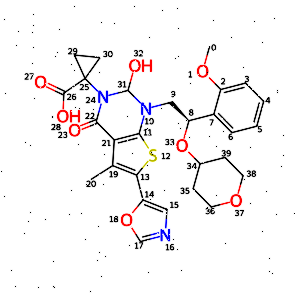 COc1ccccc1[C@H](CN1c2sc(-c3cnco3)c(C)c2C(=O)N(C2(C(=O)O)CC2)C1O)OC1CCOCC1